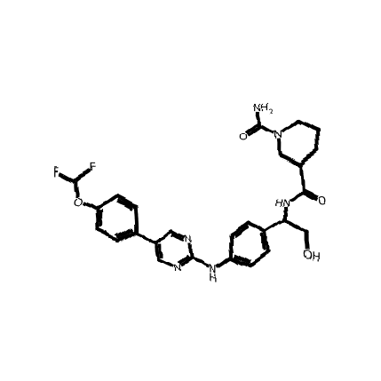 NC(=O)N1CCCC(C(=O)NC(CO)c2ccc(Nc3ncc(-c4ccc(OC(F)F)cc4)cn3)cc2)C1